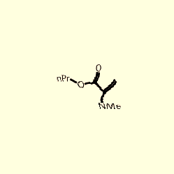 C=C(NC)C(=O)OCCC